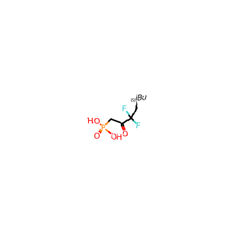 CC[C@H](C)CC(F)(F)C(=O)CP(=O)(O)O